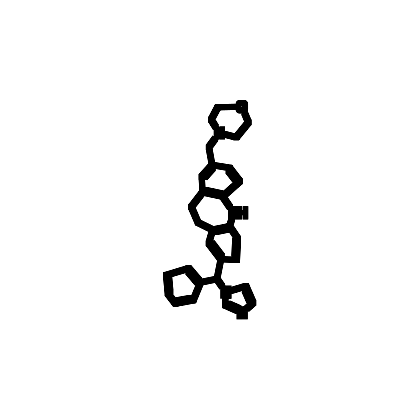 c1ccc(C(c2ccc3c(c2)CCc2cc(CN4CCOCC4)ccc2N3)n2ccnc2)cc1